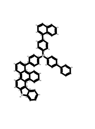 c1ccc(-c2ccc(N(c3ccc(-c4cccc5ccccc45)cc3)c3ccc(-c4cccc5c6ccc7oc8ccccc8c7c6c6ccccc6c45)cc3)cc2)cc1